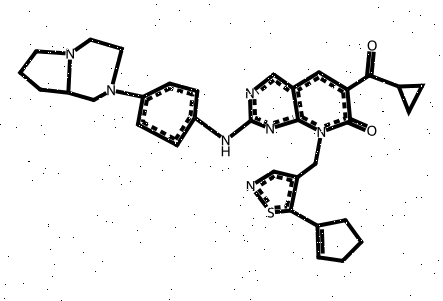 O=C(c1cc2cnc(Nc3ccc(N4CCN5CCCC5C4)cc3)nc2n(Cc2cnsc2C2=CCCC2)c1=O)C1CC1